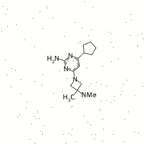 CNC1(C)CN(c2cc(C3CCCC3)nc(N)n2)C1